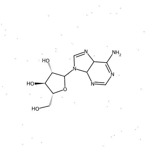 NC1=NC=NC2C1N=CN2C1O[C@H](CO)[C@@H](O)[C@@H]1O